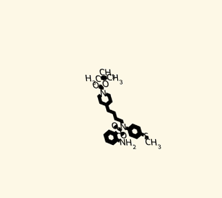 CSc1ccc(N(CCCCC2CCN(C(=O)OC(C)(C)C)CC2)S(=O)(=O)c2ccccc2N)cc1